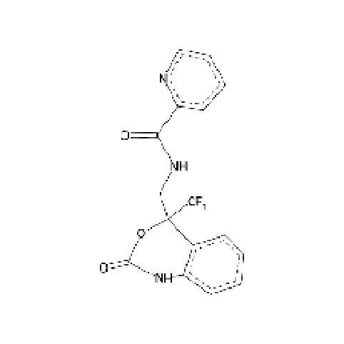 O=C1Nc2ccccc2C(CNC(=O)c2ccccn2)(C(F)(F)F)O1